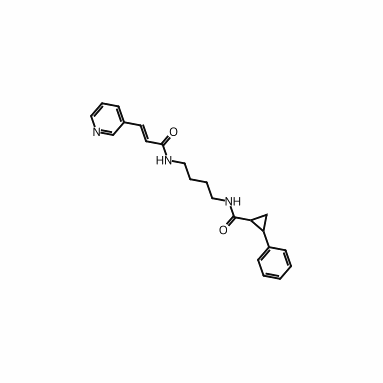 O=C(C=Cc1cccnc1)NCCCCNC(=O)C1CC1c1ccccc1